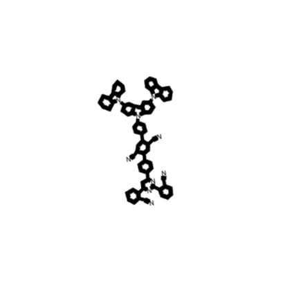 N#Cc1cc(-c2ccc(-n3c4ccc(-n5c6ccccc6c6ccccc65)cc4c4cc(-n5c6ccccc6c6ccccc65)ccc43)cc2)c(C#N)cc1-c1ccc(-c2cc(-c3ccccc3C#N)nc(-c3ccccc3C#N)n2)cc1